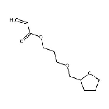 C=CC(=O)OCCCOCC1CCCO1